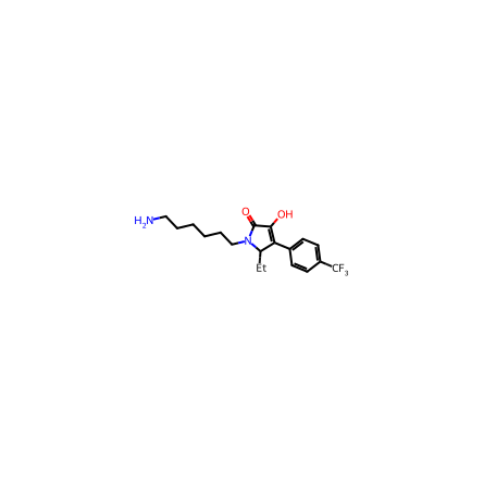 CCC1C(c2ccc(C(F)(F)F)cc2)=C(O)C(=O)N1CCCCCCN